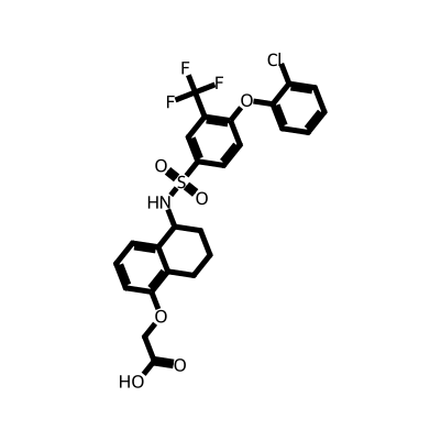 O=C(O)COc1cccc2c1CCCC2NS(=O)(=O)c1ccc(Oc2ccccc2Cl)c(C(F)(F)F)c1